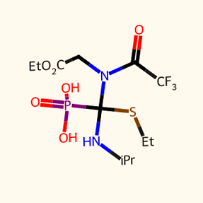 CCOC(=O)CN(C(=O)C(F)(F)F)C(NC(C)C)(SCC)P(=O)(O)O